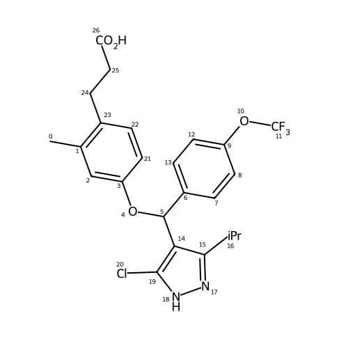 Cc1cc(OC(c2ccc(OC(F)(F)F)cc2)c2c(C(C)C)n[nH]c2Cl)ccc1CCC(=O)O